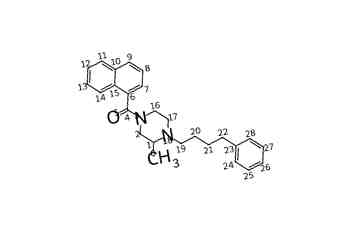 CC1CN(C(=O)c2cccc3ccccc23)CCN1CCCCc1ccccc1